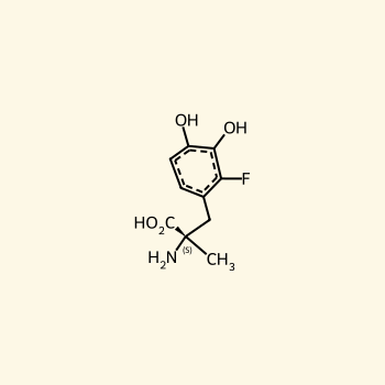 C[C@](N)(Cc1ccc(O)c(O)c1F)C(=O)O